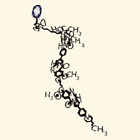 CCCC1CCN(c2ccc(C3=CN4C(=O)c5cc(OC)c(OCCCOc6cc7c(cc6OC)C(=O)N6C=C(c8ccc(NC(=O)[C@H](C)NC(=O)C(NC(=O)CCCCCN9C(=O)CC(C%10=C/C=C\C=C/C=C\%10)C9=O)C(C)C)cc8)C[C@H]6C=N7)cc5N=C[C@@H]4C3)cc2)CC1